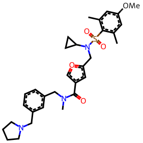 COc1cc(C)c(S(=O)(=O)N(Cc2cc(C(=O)N(C)Cc3cccc(CN4CCCC4)c3)co2)C2CC2)c(C)c1